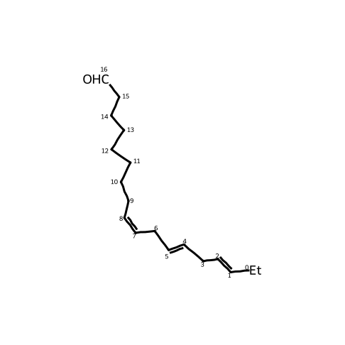 CCC=CCC=CC/C=C\CCCCCCCC=O